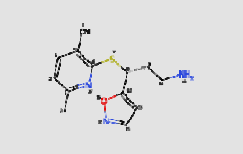 Cc1ccc(C#N)c(S[C@H](CCN)c2ccno2)n1